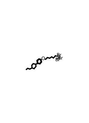 CCCC1CCC(c2ccc(OCCCCCC[Si](Br)(Br)Br)cc2)CC1